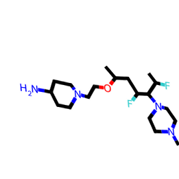 CC(CC(F)C(C(C)F)N1CCN(C)CC1)OCCN1CCC(N)CC1